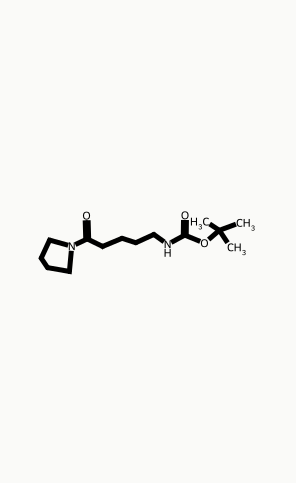 CC(C)(C)OC(=O)NCCC[CH]C(=O)N1CCCC1